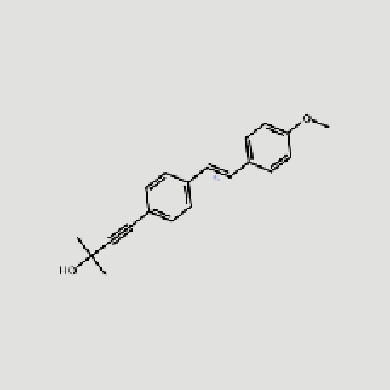 COc1ccc(/C=C/c2ccc(C#CC(C)(C)O)cc2)cc1